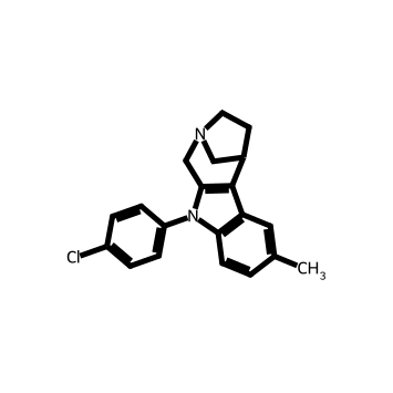 Cc1ccc2c(c1)c1c(n2-c2ccc(Cl)cc2)CN2CCC1C2